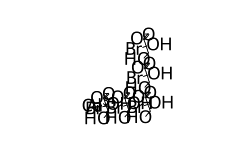 O=C([O-])C(O)(Br)CO.O=C([O-])C(O)(Br)CO.O=C([O-])C(O)(Br)CO.O=C([O-])C(O)(Br)CO.O=C([O-])C(O)(Br)CO.[Al+3].[Ca+2]